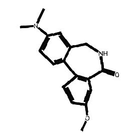 COc1ccc2c(c1)C(=O)NCc1cc(N(C)C)ccc1-2